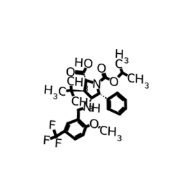 COc1ccc(C(F)(F)F)cc1CN[C@@H]1[C@@H](C(C)(C)C)[C@H](C(=O)O)N(C(=O)OC(C)C)[C@@H]1c1ccccc1